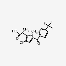 CC(C(=O)O)c1c(Cl)cc(C(=O)c2ccc(C(F)(F)F)cc2)n1C